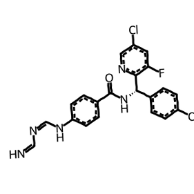 N=C/N=C\Nc1ccc(C(=O)N[C@@H](c2ccc(Cl)cc2)c2ncc(Cl)cc2F)cc1